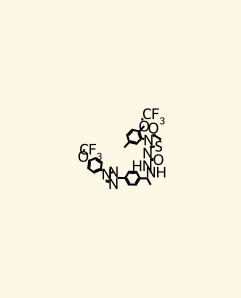 Cc1ccc(OCC(F)(F)F)c(N2C(=O)CSC2=NC(=O)NNC(C)c2ccc(-c3ncn(-c4ccc(OC(F)(F)F)cc4)n3)cc2)c1